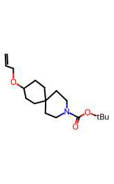 C=CCOC1CCC2(CC1)CCN(C(=O)OC(C)(C)C)CC2